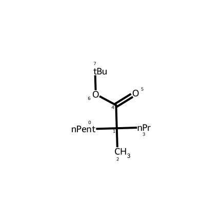 CCCCCC(C)(CCC)C(=O)OC(C)(C)C